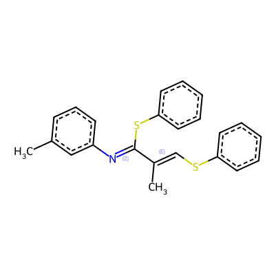 CC(=C\Sc1ccccc1)/C(=N/c1cccc(C)c1)Sc1ccccc1